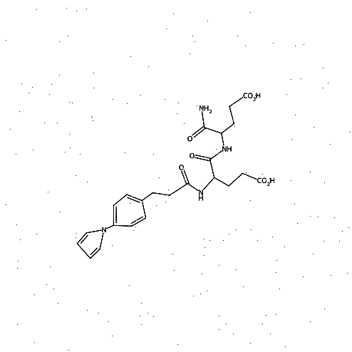 NC(=O)C(CCC(=O)O)NC(=O)C(CCC(=O)O)NC(=O)CCc1ccc(-n2cccc2)cc1